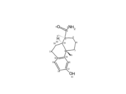 C[C@]1(C(N)=O)CCC[C@]2(C)c3cc(O)ccc3CC[C@@H]12